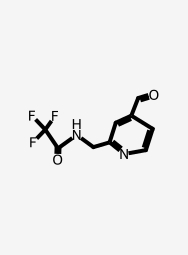 O=Cc1ccnc(CNC(=O)C(F)(F)F)c1